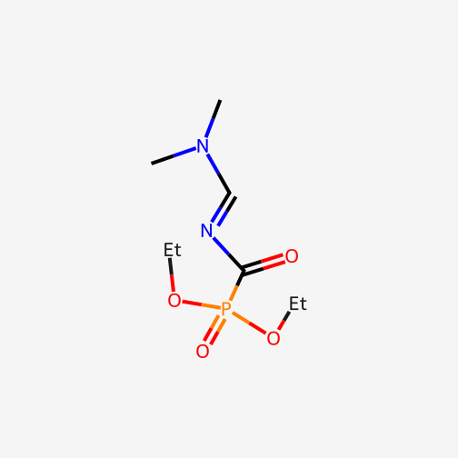 CCOP(=O)(OCC)C(=O)N=CN(C)C